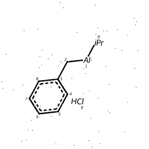 C[CH](C)[Al][CH2]c1ccccc1.Cl